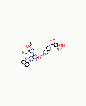 C=CC(=O)N1CCN(c2nc(OCCN3CCC4(CC3)CCN(Cc3cc(C(C)C)c(O)cc3O)CC4)nc3c2CCN(c2cccc4cccc(Cl)c24)C3)C[C@@H]1CC#N